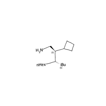 CCCCCCC([C@@H](CN)C1CCC1)[C@@H](C)CC